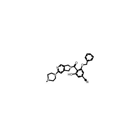 CN1CCN(c2cc3c(cn2)CN(C(=O)c2c(O)cc(C#N)cc2OCc2ccccc2)C3)CC1